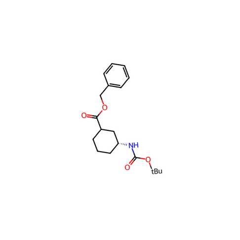 CC(C)(C)OC(=O)N[C@@H]1CCCC(C(=O)OCc2ccccc2)C1